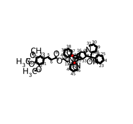 COc1cc(C=CC(=O)OCCN2C(=O)C3C4C=C(C(O)(c5ccccc5)c5ccccn5)C(C4=C(c4ccccc4)c4ccccn4)C3C2=O)cc(OC)c1OC